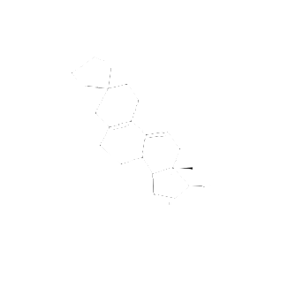 CC[C@@H]1CC2C3CCC4=C(CCC5(C4)OCCO5)C3=CC[C@]2(C)C1C(C)=O